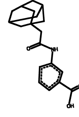 O=C(CC12CC3CC(CC(C3)C1)C2)Nc1cccc(C(=O)O)c1